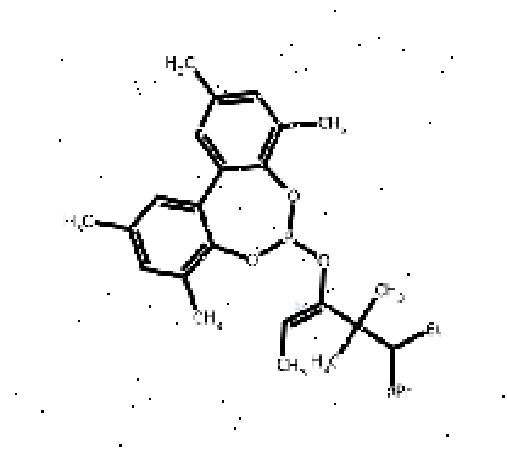 C/C=C(/Op1oc2c(C)cc(C)cc2c2cc(C)cc(C)c2o1)C(C)(C)C(CC)CCC